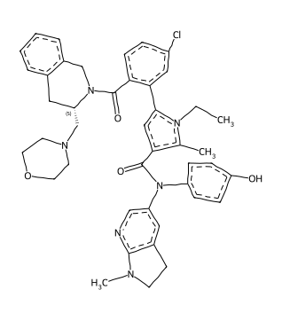 CCn1c(-c2cc(Cl)ccc2C(=O)N2Cc3ccccc3C[C@H]2CN2CCOCC2)cc(C(=O)N(c2ccc(O)cc2)c2cnc3c(c2)CCN3C)c1C